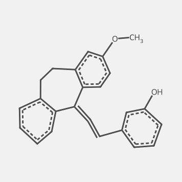 COc1ccc2c(c1)CCc1ccccc1C2=C=Cc1cccc(O)c1